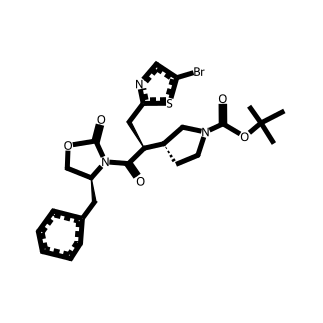 CC(C)(C)OC(=O)N1CC[C@H]([C@H](Cc2ncc(Br)s2)C(=O)N2C(=O)OC[C@@H]2Cc2ccccc2)C1